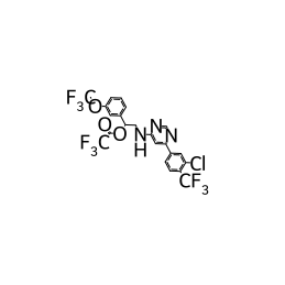 O=C(OC(CNc1cc(-c2ccc(C(F)(F)F)c(Cl)c2)ncn1)c1cccc(OC(F)(F)F)c1)C(F)(F)F